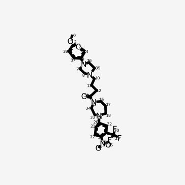 COc1ccc(N2CCN(CCCC(=O)N3CCCN(c4ccc([N+](=O)[O-])c(C(F)(F)F)c4)CC3)CC2)cc1